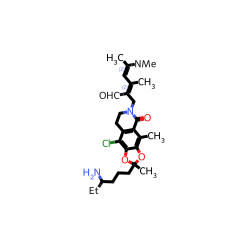 CCC(N)CCCC1(C)Oc2c(C)c3c(c(Cl)c2O1)CCN(C/C(C=O)=C(C)/C=C(/C)NC)C3=O